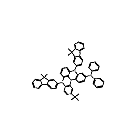 CC(C)(C)c1ccc2c(c1)B1c3ccc(N(c4ccccc4)c4ccccc4)cc3N(c3ccc4c(c3)C(C)(C)c3ccccc3-4)c3cccc(c31)N2c1ccc2c(c1)C(C)(C)c1ccccc1-2